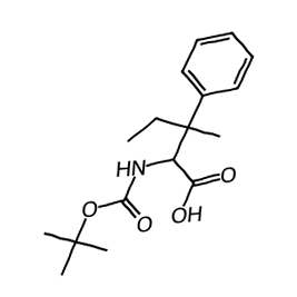 CCC(C)(c1ccccc1)C(NC(=O)OC(C)(C)C)C(=O)O